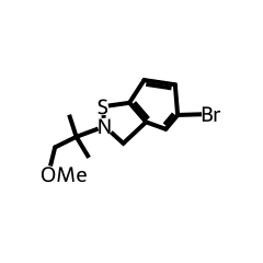 COCC(C)(C)N1Cc2cc(Br)ccc2S1